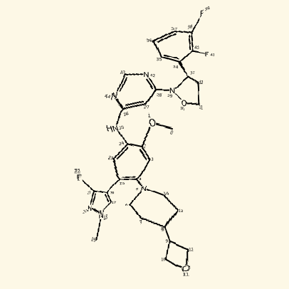 COc1cc(N2CCC(C3COC3)CC2)c(-c2cn(C)nc2F)cc1Nc1cc(N2OCC[C@@H]2c2cccc(F)c2F)ncn1